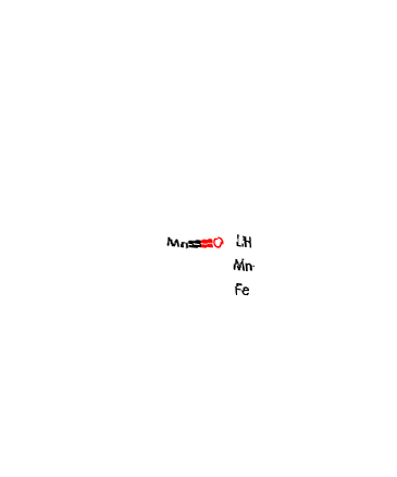 [Fe].[LiH].[Mn].[O]=[Mn]